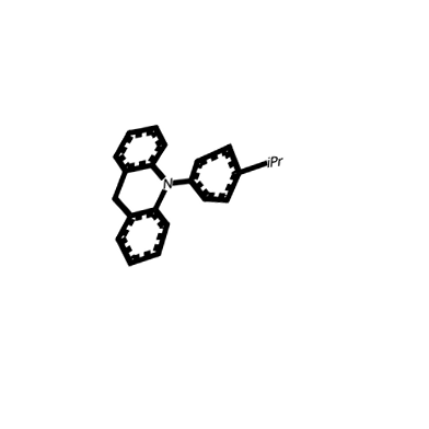 CC(C)c1ccc(N2c3ccccc3Cc3ccccc32)cc1